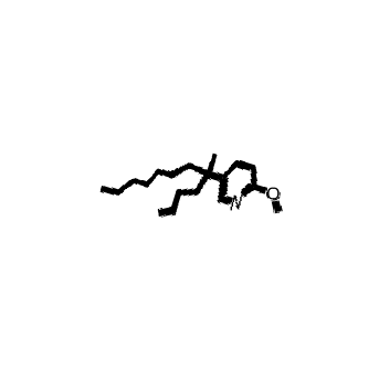 CCCCCCCC(C)(CCCC)c1ccc(OC)nc1